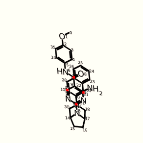 COc1ccc(NC(=O)c2cnc(N3C4CCC3CN(c3cc5ccccc5cn3)C4)nc2N)cc1